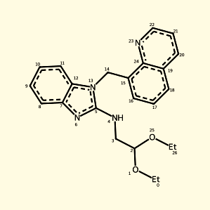 CCOC(CNc1nc2ccccc2n1Cc1cccc2cccnc12)OCC